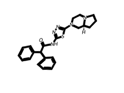 O=C(Nc1nnc(N2CCN3CCC[C@H]3C2)s1)C(c1ccccc1)c1ccccc1